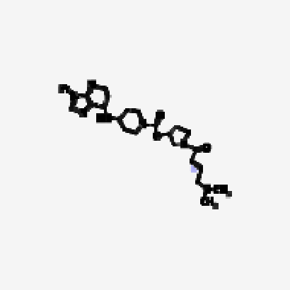 CC(C)n1cnc2c(NC3CCN(C(=O)OC4CCN(C(=O)/C=C/CN(C)C)C4)CC3)ccnc21